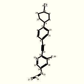 CCC1CCC(c2ccc(C#Cc3ncc(N=C=S)cc3F)cc2)CC1